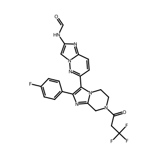 O=CNc1cn2nc(-c3c(-c4ccc(F)cc4)nc4n3CCN(C(=O)CC(F)(F)F)C4)ccc2n1